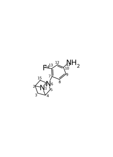 CN1C2CC1CN(c1ccc(N)cc1F)C2